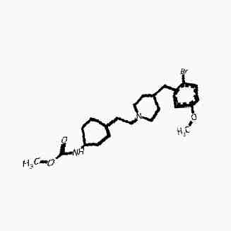 COC(=O)NC1CCC(CCN2CCC(Cc3cc(OC)ccc3Br)CC2)CC1